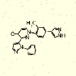 Cc1cc(-c2cn[nH]c2)ccc1-n1ccc(=O)c(-c2ccnn2-c2ccccc2)n1